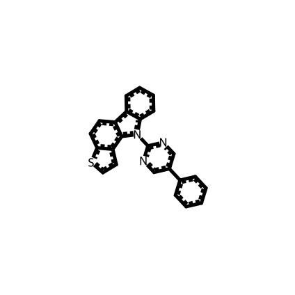 c1ccc(-c2cnc(-n3c4ccccc4c4ccc5sccc5c43)nc2)cc1